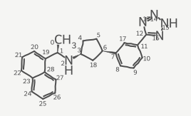 C[C@@H](N[C@H]1CC[C@@H](c2cccc(-c3nn[nH]n3)c2)C1)c1cccc2ccccc12